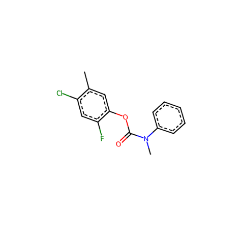 Cc1cc(OC(=O)N(C)c2ccccc2)c(F)cc1Cl